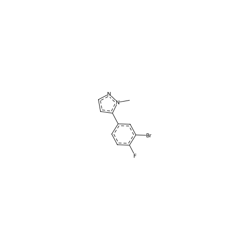 Cn1nccc1-c1ccc(F)c(Br)c1